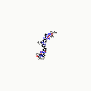 COC(=O)NC(C(=O)N1CCCC1c1nc2cc(N(C)c3ccc(-c4ccc5nc(C6CCCN6C(=O)C(NC(=O)OC)C(C)C)[nH]c5c4)cn3)ccc2[nH]1)C(C)C